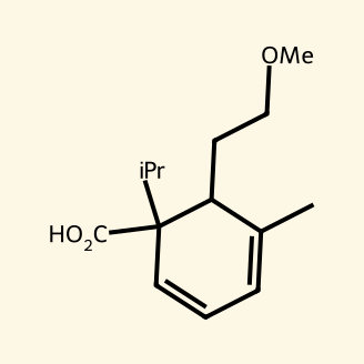 COCCC1C(C)=CC=CC1(C(=O)O)C(C)C